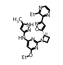 CCOc1cc(Nc2cc(C)[nH]n2)nc(N2CC[C@H]2c2cc(-c3nccnc3CC)no2)n1